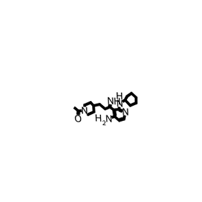 CC(=O)N1CCC(CCC(=N)c2c(N)ccnc2NC2CCCCC2)CC1